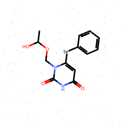 CC(O)OCn1c([Se]c2ccccc2)cc(=O)[nH]c1=O